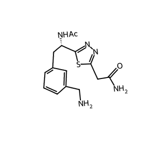 CC(=O)N[C@@H](Cc1cccc(CN)c1)c1nnc(CC(N)=O)s1